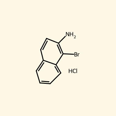 Cl.Nc1ccc2ccccc2c1Br